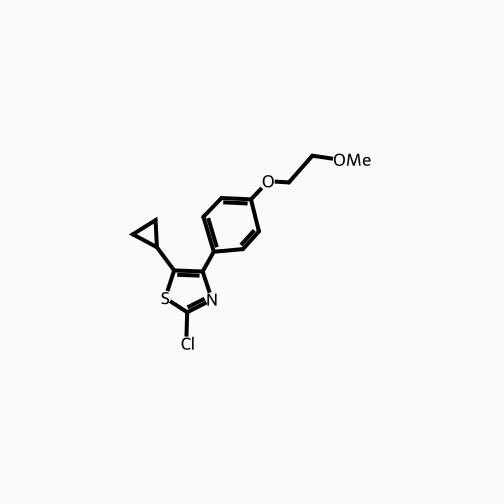 COCCOc1ccc(-c2nc(Cl)sc2C2CC2)cc1